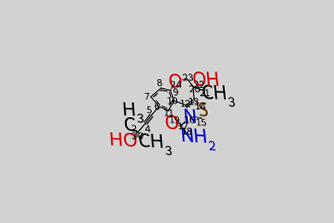 CC(C)(O)C#Cc1ccc2c(c1)C1=C(SCN1C(N)=O)C(C)(O)CO2